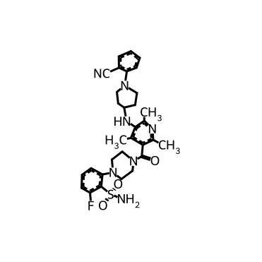 Cc1nc(C)c(C(=O)N2CCN(c3cccc(F)c3S(N)(=O)=O)CC2)c(C)c1NC1CCN(c2ccccc2C#N)CC1